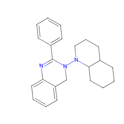 c1ccc(C2=Nc3ccccc3CN2N2CCCC3CCCCC32)cc1